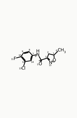 CC1CC(C(=O)Nc2ccc(F)c(Cl)c2)=NO1